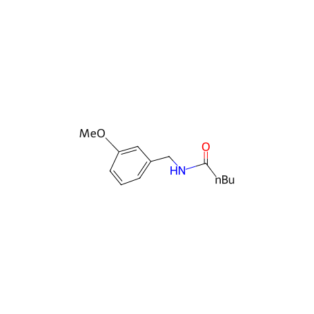 CCCCC(=O)NCc1cccc(OC)c1